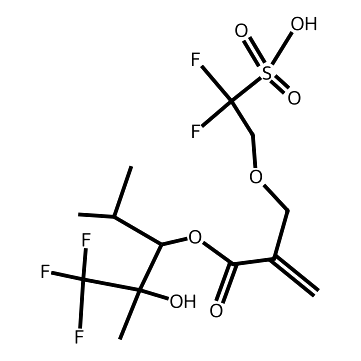 C=C(COCC(F)(F)S(=O)(=O)O)C(=O)OC(C(C)C)C(C)(O)C(F)(F)F